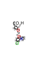 O=C(O)Cc1ccc(OCCCOc2ccc(Cl)cc2N2CCCC2)cc1